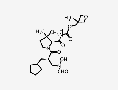 CC1(COC(=O)NC(=O)[C@H]2N(C(=O)[C@H](CC3CCCC3)CN(O)C=O)CCC2(C)C)COC1